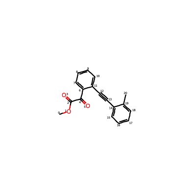 COC(=O)C(=O)c1ccccc1C#Cc1ccccc1C